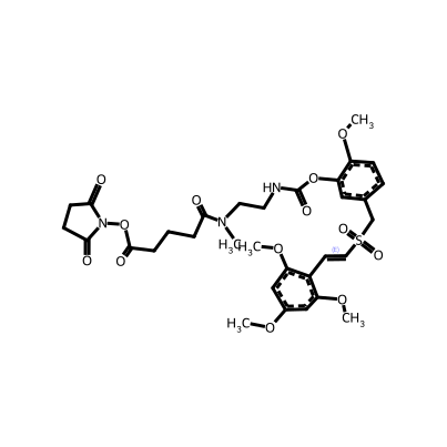 COc1cc(OC)c(/C=C/S(=O)(=O)Cc2ccc(OC)c(OC(=O)NCCN(C)C(=O)CCCC(=O)ON3C(=O)CCC3=O)c2)c(OC)c1